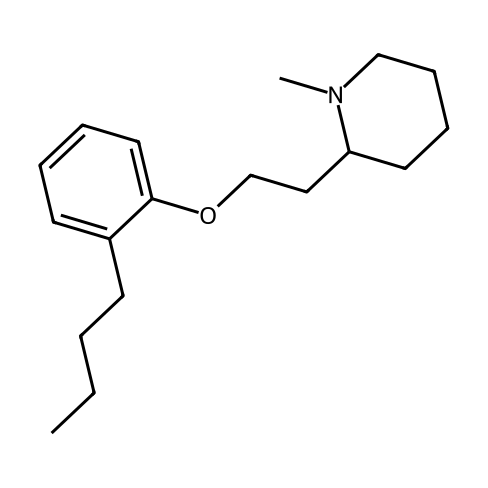 CCCCc1ccccc1OCCC1CCCCN1C